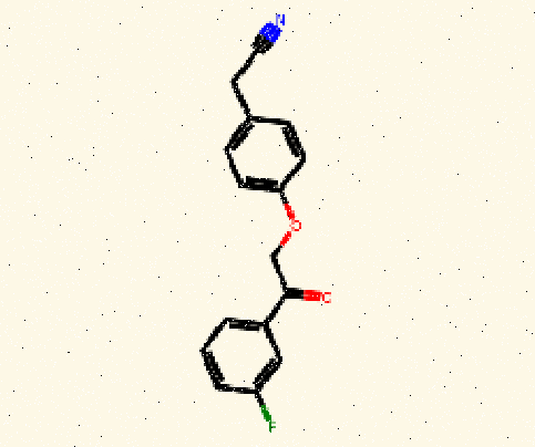 N#CCc1ccc(OCC(=O)c2cccc(F)c2)cc1